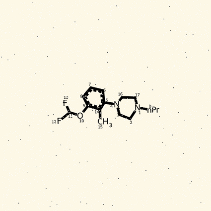 CCCN1CCN(c2cccc(OC(F)F)c2C)CC1